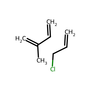 C=CC(=C)C.C=CCCl